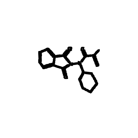 C=C(C)C(=O)N(C1CCCCC1)N1C(=O)c2ccccc2C1=O